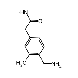 Cc1cc(CC([NH])=O)ccc1CN